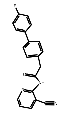 N#Cc1cccnc1NC(=O)Cc1ccc(-c2ccc(F)cc2)cc1